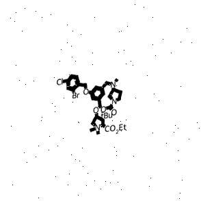 CCOC(=O)C1CC(OCc2cc(CN(C)C3CCN(C(=O)OC(C)(C)C)C3)cc(OCc3ccc(Cl)cc3Br)c2)C[N+]1(C)C